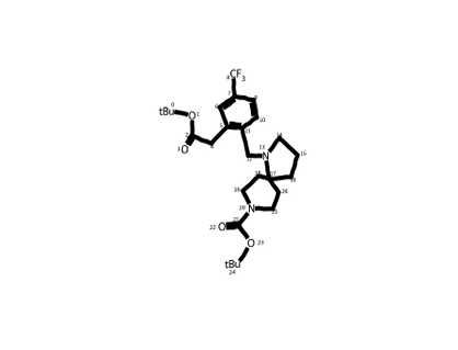 CC(C)(C)OC(=O)Cc1cc(C(F)(F)F)ccc1CN1CCCC12CCN(C(=O)OC(C)(C)C)CC2